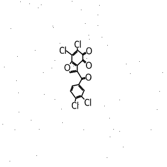 O=C1C(=O)c2c(C(=O)c3ccc(Cl)c(Cl)c3)coc2C(Cl)=C1Cl